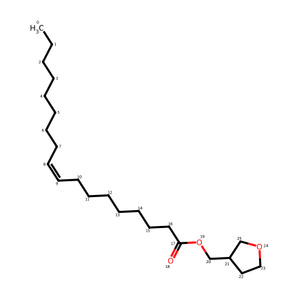 CCCCCCCC/C=C\CCCCCCCC(=O)OCC1CCOC1